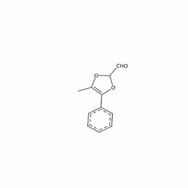 CC1=C(c2ccccc2)OC(C=O)O1